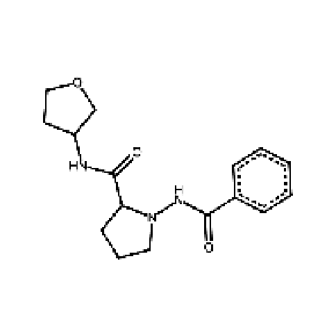 O=C(NN1CCCC1C(=O)NC1CCOC1)c1ccccc1